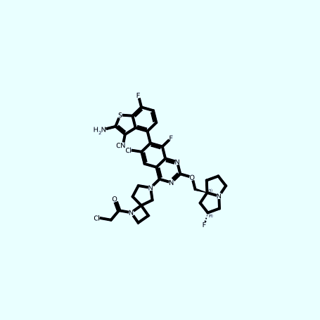 N#Cc1c(N)sc2c(F)ccc(-c3c(Cl)cc4c(N5CCC6(CCN6C(=O)CCl)C5)nc(OC[C@@]56CCCN5C[C@H](F)C6)nc4c3F)c12